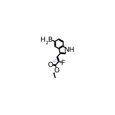 Bc1ccc2[nH]cc(/C=C(\F)C(=O)OCC)c2c1